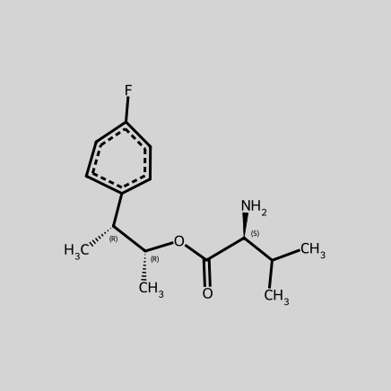 CC(C)[C@H](N)C(=O)O[C@H](C)[C@H](C)c1ccc(F)cc1